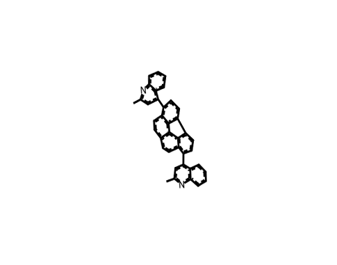 Cc1cc(-c2ccc3c4c2ccc2ccc5c(-c6cc(C)nc7ccccc67)ccc-3c5c24)c2ccccc2n1